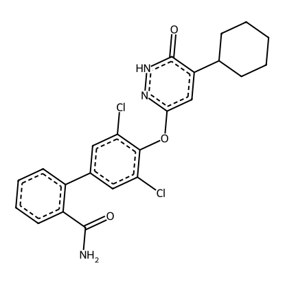 NC(=O)c1ccccc1-c1cc(Cl)c(Oc2cc(C3CCCCC3)c(=O)[nH]n2)c(Cl)c1